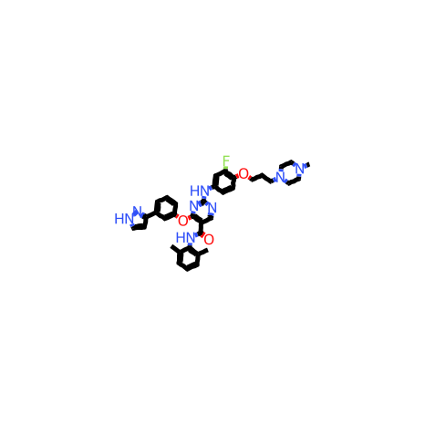 Cc1cccc(C)c1NC(=O)c1cnc(Nc2ccc(OCCCN3CCN(C)CC3)c(F)c2)nc1Oc1cccc(-c2cc[nH]n2)c1